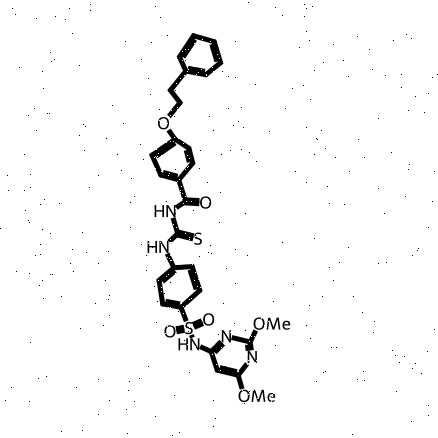 COc1cc(NS(=O)(=O)c2ccc(NC(=S)NC(=O)c3ccc(OCCc4ccccc4)cc3)cc2)nc(OC)n1